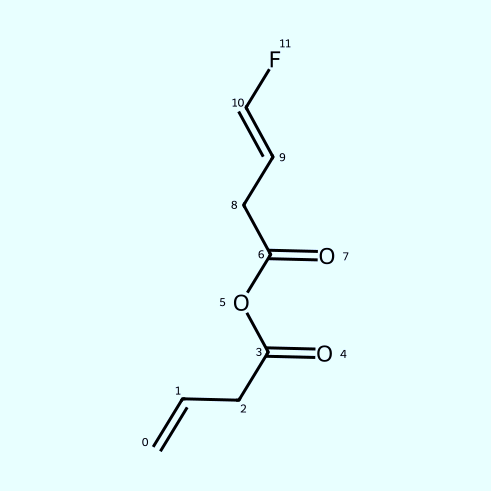 C=CCC(=O)OC(=O)CC=CF